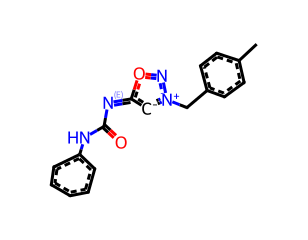 Cc1ccc(C[n+]2[cH-]/c(=N\C(=O)Nc3ccccc3)on2)cc1